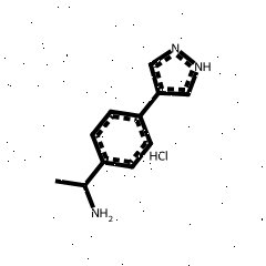 CC(N)c1ccc(-c2cn[nH]c2)cc1.Cl